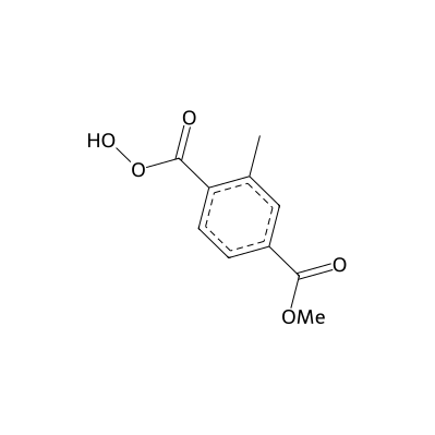 COC(=O)c1ccc(C(=O)OO)c(C)c1